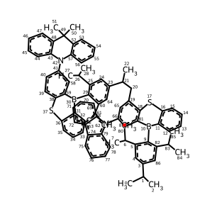 CC(C)c1cc(C(C)C)c(B2c3ccccc3Sc3c(CC(C)c4cc(C(C)C)c(B5c6ccccc6Sc6ccc(N7c8ccccc8C(C)(C)c8ccccc87)cc65)c(C(C)C)c4)cc(-n4c5ccccc5c5ccccc54)cc32)c(C(C)C)c1